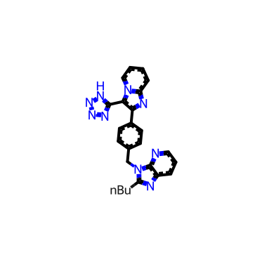 CCCCc1nc2cccnc2n1Cc1ccc(-c2nc3ccccn3c2-c2nnn[nH]2)cc1